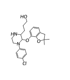 CC1(C)Cc2cccc(OC3C(CCCO)NCCN3c3ccc(Cl)cc3)c2O1